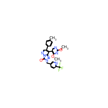 COc1ncc(-c2c(-c3ccc(C)cc3)cnn3c(=O)n(Cc4ccc(C(F)(F)F)nc4)nc23)c(OC)n1